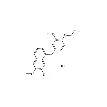 CCCOc1ccc(Cc2nccc3cc(OC)c(OC)cc23)cc1OC.Cl